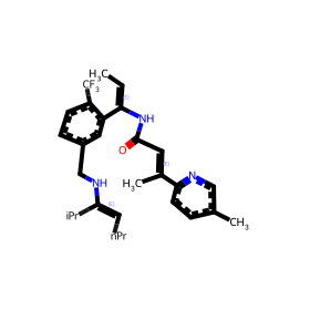 C/C=C(/NC(=O)/C=C(\C)c1ccc(C)cn1)c1cc(CN/C(=C/CCC)C(C)C)ccc1C(F)(F)F